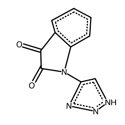 O=C1C(=O)N(c2c[nH]nn2)c2ccccc21